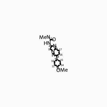 CNC(=O)Nc1cn2nc(-c3ccc(OC)cc3)ccc2n1